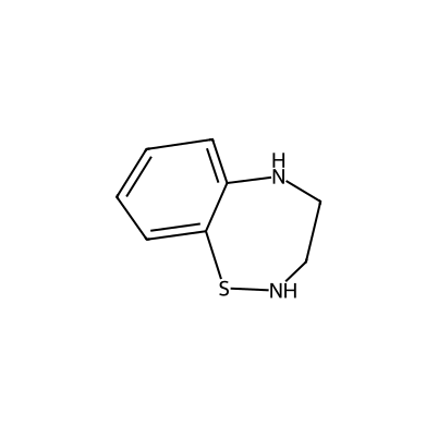 c1ccc2c(c1)NCCNS2